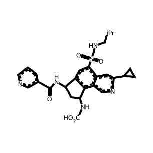 CC(C)CNS(=O)(=O)c1cc2c(c3cnc(C4CC4)cc13)C(NC(=O)O)CC2NC(=O)c1cccnc1